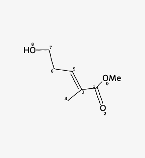 COC(=O)C(C)=CCCO